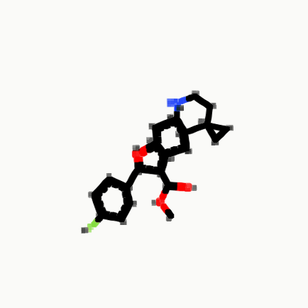 COC(=O)c1c(-c2ccc(F)cc2)oc2cc3c(cc12)C1(CCN3)CC1